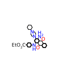 CCOC(=O)c1ccc(Nc2cc(N3CCN(C4CCCCC4)CC3)c(N)c3c2C(=O)c2ccccc2C3=O)cc1